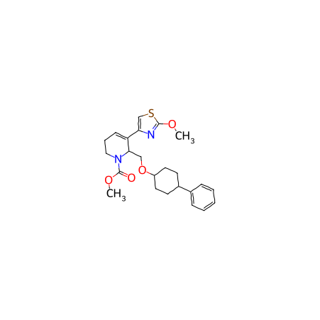 COC(=O)N1CCC=C(c2csc(OC)n2)C1COC1CCC(c2ccccc2)CC1